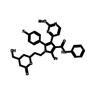 COc1nccc(-c2c(C(=O)Nc3ccccc3)c(C(C)C)n(CCC3CC(CO)CC(=O)O3)c2-c2ccc(F)cc2)n1